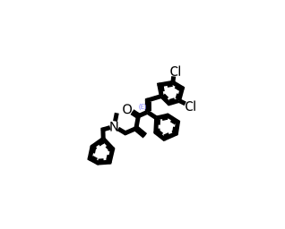 C=C(CN(C)Cc1ccccc1)C(=O)/C(=C/c1cc(Cl)cc(Cl)c1)c1ccccc1